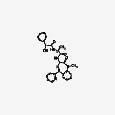 C[C@H](NC(=O)C(O)c1ccccc1)C(=O)NC1N=C(c2ccccn2)c2ccccc2N(C)C1=O